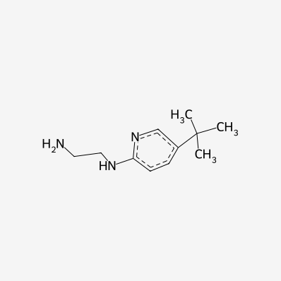 CC(C)(C)c1ccc(NCCN)nc1